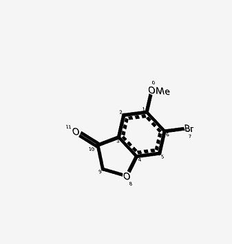 COc1cc2c(cc1Br)OCC2=O